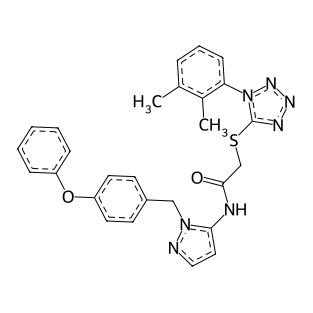 Cc1cccc(-n2nnnc2SCC(=O)Nc2ccnn2Cc2ccc(Oc3ccccc3)cc2)c1C